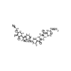 Cc1cc(Nc2nccn3c(-c4ccc(OCC#N)c(F)c4Cl)cnc23)ccc1C(=O)N1CCN(C(=O)N2CCOC(CN)C2)CC1